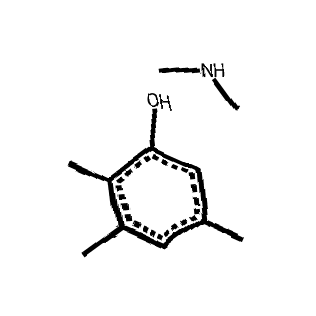 CNC.Cc1cc(C)c(C)c(O)c1